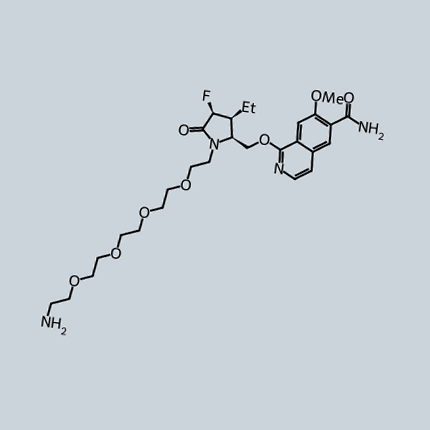 CC[C@@H]1[C@H](F)C(=O)N(CCOCCOCCOCCOCCN)[C@@H]1COc1nccc2cc(C(N)=O)c(OC)cc12